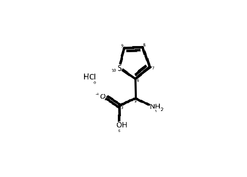 Cl.NC(C(=O)O)c1cccs1